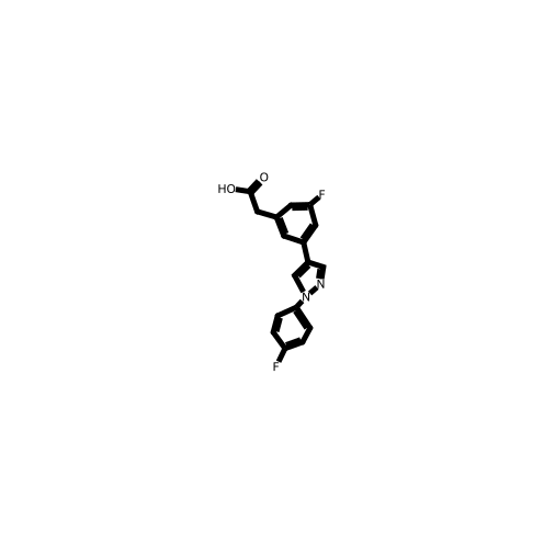 O=C(O)Cc1cc(F)cc(-c2cnn(-c3ccc(F)cc3)c2)c1